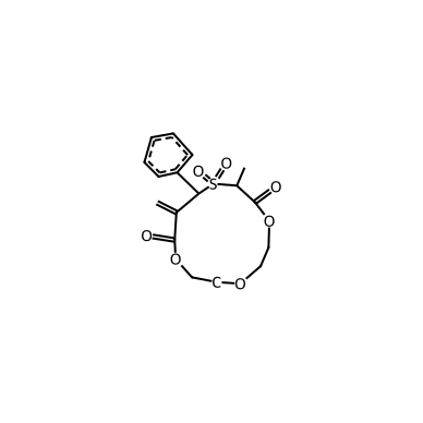 C=C1C(=O)OCCOCCOC(=O)C(C)S(=O)(=O)C1c1ccccc1